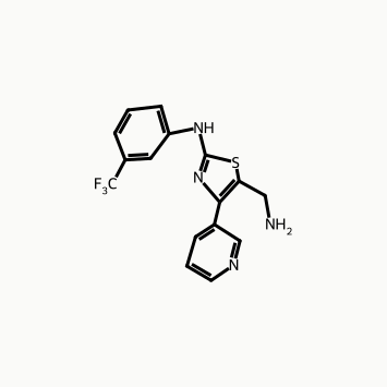 NCc1sc(Nc2cccc(C(F)(F)F)c2)nc1-c1cccnc1